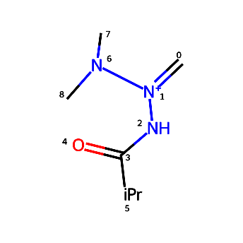 C=[N+](NC(=O)C(C)C)N(C)C